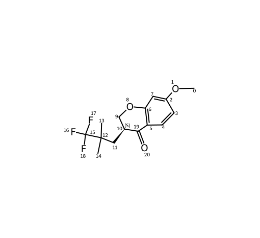 COc1ccc2c(c1)OC[C@H](CC(C)(C)C(F)(F)F)C2=O